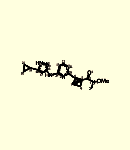 CON(C)C(=O)C12CC(C1)N(c1nccc(Nc3cc(C4CC4)[nH]n3)n1)C2